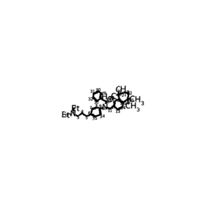 CCN(CC)CCCc1ccc(N(Cc2ccc3c(c2)C(C)(C)CCC3(C)C)C(=O)c2ccccc2)cc1